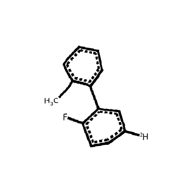 [2H]c1ccc(F)c(-c2ccccc2C)c1